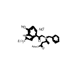 CCOC(=O)c1cc2c(C(=O)CN(Cc3ccccc3)C(C)CC(=O)OC)ccc(O)c2[nH]1.Cl